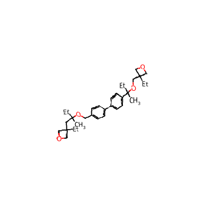 CCC1(COC(C)(CC)c2ccc(-c3ccc(COC(C)(CC)CC4(CC)COC4)cc3)cc2)COC1